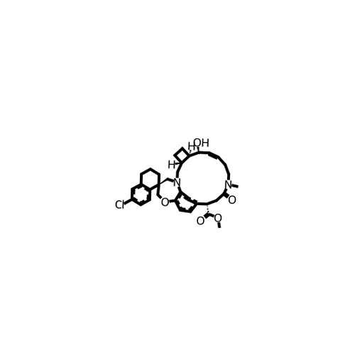 COC(=O)[C@H]1CC(=O)N(C)CCC=C[C@H](O)[C@@H]2CC[C@H]2CN2C[C@@]3(CCCc4cc(Cl)ccc43)COc3ccc1cc32